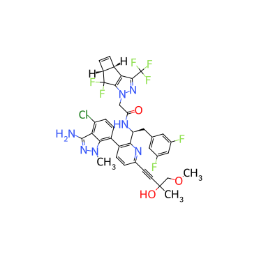 COCC(C)(O)C#Cc1ccc(-c2ccc(Cl)c3c(N)nn(C)c23)c([C@H](Cc2cc(F)cc(F)c2)NC(=O)Cn2nc(C(F)(F)F)c3c2C(F)(F)[C@@H]2C=C[C@H]32)n1